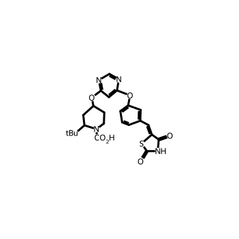 CC(C)(C)C1CC(Oc2cc(Oc3cccc(/C=C4\SC(=O)NC4=O)c3)ncn2)CCN1C(=O)O